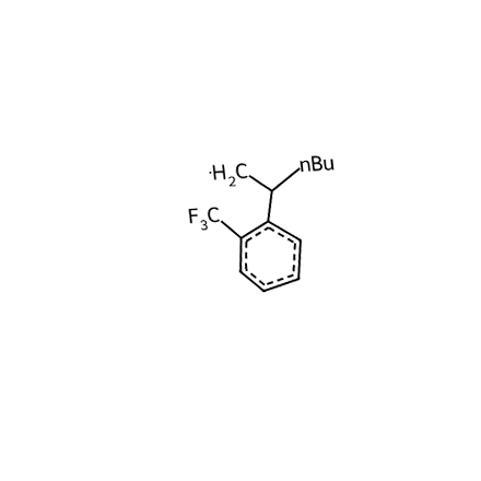 [CH2]CCCC([CH2])c1ccccc1C(F)(F)F